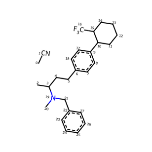 CC#N.CC(CCc1ccc(C2CCCCC2C(F)(F)F)cc1)N(C)Cc1ccccc1